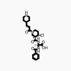 C[C@](NC(=O)c1ccccc1)(NC(=O)[C@@H]1CCCN(C(=O)/C=C/C2CCNCC2)C1)C(=O)O.Cl